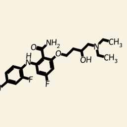 CCN(CC)CC(O)CCOc1cc(F)cc(Nc2ccc(I)cc2F)c1C(N)=O